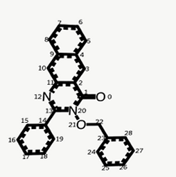 O=c1c2cc3ccccc3cc2nc(-c2ccccc2)n1OCc1ccccc1